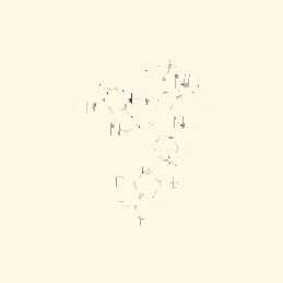 Nc1ncnc2c1ncn2Cc1cc(-c2cc(F)c(C(F)F)cc2F)ncc1N1CCC[C@](N)([C@H](O)C(F)F)C1